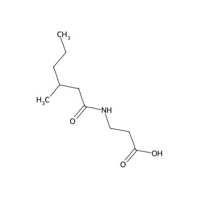 CCCC(C)CC(=O)NCCC(=O)O